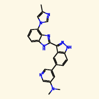 Cc1cn(-c2cccc3[nH]c(-c4n[nH]c5ccc(-c6cncc(N(C)C)c6)cc45)nc23)cn1